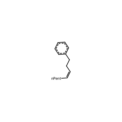 CCCCC/C=C\CCc1ccccc1